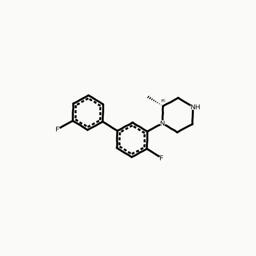 C[C@@H]1CNCCN1c1cc(-c2cccc(F)c2)ccc1F